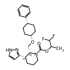 CC(OC(=O)N1CCC[C@H](c2cc[nH]n2)[C@@H]1CO[C@H]1CC[C@@H](c2ccccc2)CC1)C(F)F